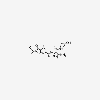 Cc1cc(-c2ccn3nc(N)c(C(=O)N[C@]4(C)C[C@@H](O)C4)c3n2)cc2c1C(=O)N([C@@H](C)C1CC1)C2